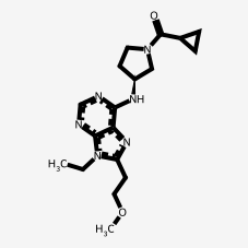 CCn1c(CCOC)nc2c(N[C@H]3CCN(C(=O)C4CC4)C3)ncnc21